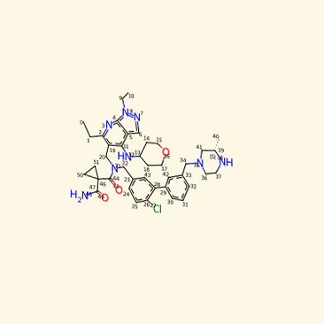 CCc1nc2c(cnn2CC)c(NC2CCOCC2)c1CN(Cc1ccc(Cl)c(-c2cccc(CN3CCN[C@@H](C)C3)c2)c1)C(=O)C1(C(N)=O)CC1